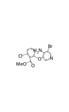 COC(=O)c1c(Cl)cccc1Oc1cncc(Br)c1N